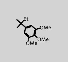 CCC(C)(C)c1cc(OC)c(OC)c(OC)c1